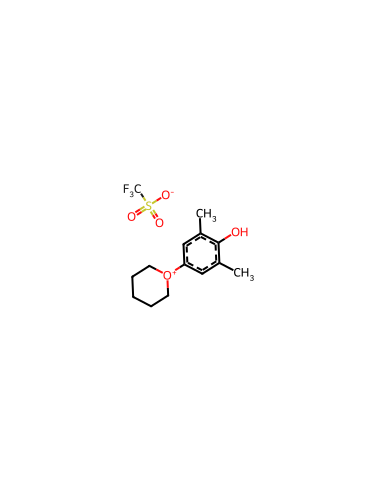 Cc1cc([O+]2CCCCC2)cc(C)c1O.O=S(=O)([O-])C(F)(F)F